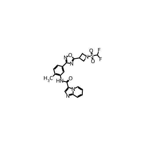 Cc1ccc(-c2noc(C3CN(S(=O)(=O)C(F)F)C3)n2)cc1NC(=O)c1cnc2ccccn12